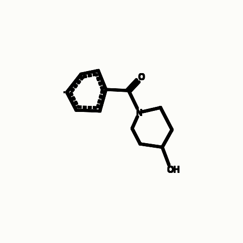 O=C(c1cc[c]cc1)N1CCC(O)CC1